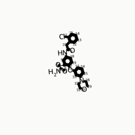 NS(=O)(=O)c1cc(NC(=O)Cc2ccccc2Cl)ccc1Oc1cccc(N2CCOCC2)c1